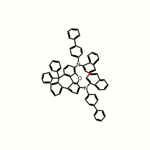 c1ccc(-c2ccc(N(c3cccc4ccccc34)c3ccc4c5c3oc3c(N(c6ccc(-c7ccccc7)cc6)c6cccc7ccccc67)ccc(c35)C(c3ccccc3)(c3ccccc3)c3ccccc3-4)cc2)cc1